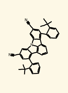 CC(C)(C)c1ccccc1-c1cc(C#N)cc2c1c1cccc3c4c(-c5ccccc5C(C)(C)C)cc(C#N)cc4n2c13